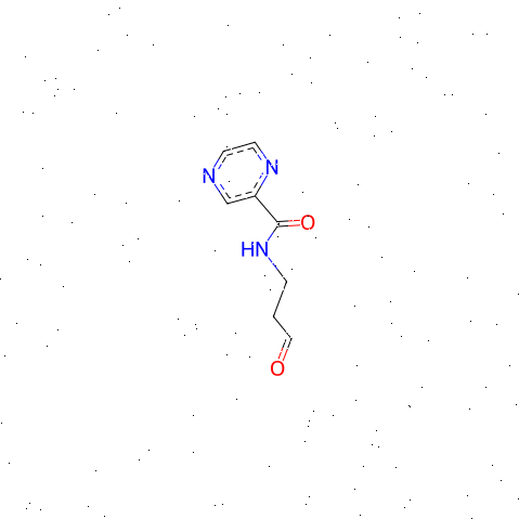 O=CCCNC(=O)c1cnccn1